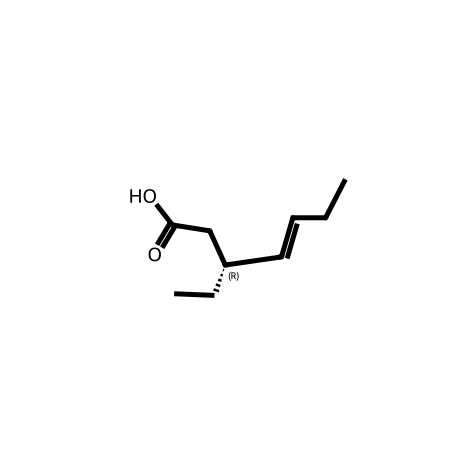 CCC=C[C@H](CC)CC(=O)O